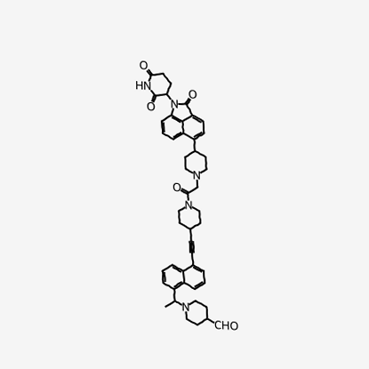 CC(c1cccc2c(C#CC3CCN(C(=O)CN4CCC(c5ccc6c7c(cccc57)N(C5CCC(=O)NC5=O)C6=O)CC4)CC3)cccc12)N1CCC(C=O)CC1